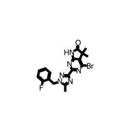 Cc1nc(-c2nc(Br)c3c(n2)NC(=O)C3(C)C)nn1Cc1ccccc1F